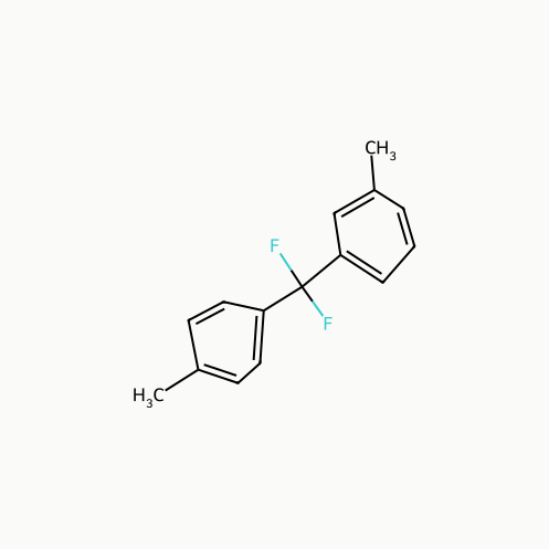 Cc1ccc(C(F)(F)c2cccc(C)c2)cc1